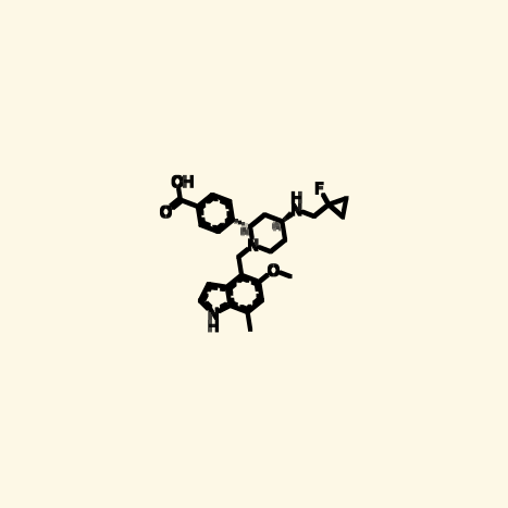 COc1cc(C)c2[nH]ccc2c1CN1CC[C@H](NCC2(F)CC2)C[C@H]1c1ccc(C(=O)O)cc1